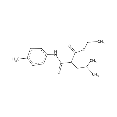 CCOC(=O)C(CC(C)C)C(=O)Nc1ccc(C)cc1